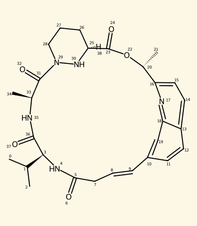 CC(C)[C@@H]1NC(=O)C/C=C/c2ccc3ccc(nc3c2)[C@@H](C)OC(=O)[C@@H]2CCCN(N2)C(=O)[C@H](C)NC1=O